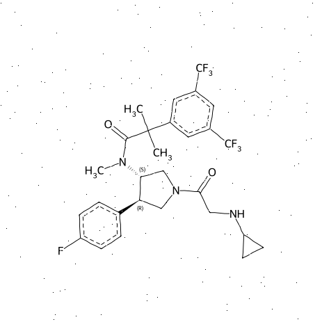 CN(C(=O)C(C)(C)c1cc(C(F)(F)F)cc(C(F)(F)F)c1)[C@@H]1CN(C(=O)CNC2CC2)C[C@H]1c1ccc(F)cc1